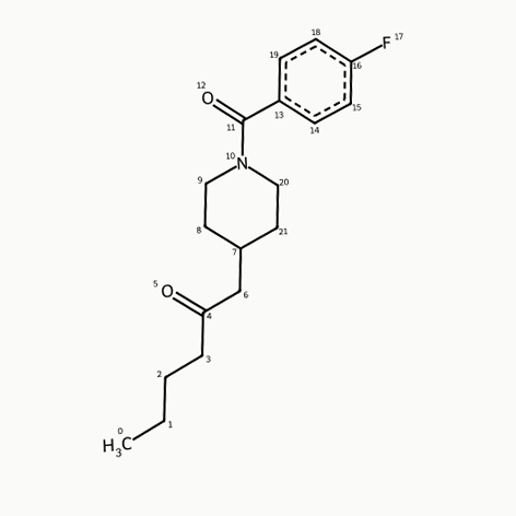 CCCCC(=O)CC1CCN(C(=O)c2ccc(F)cc2)CC1